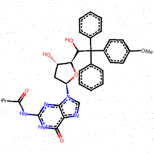 COc1ccc(C(c2ccccc2)(c2ccccc2)C(O)[C@H]2O[C@@H](n3cnc4c(=O)[nH]c(NC(=O)C(C)C)nc43)C[C@@H]2O)cc1